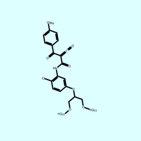 CCCCCCCCOCC(COCCCCCCCC)Oc1ccc(Cl)c(NC(=O)C(=C=O)C(=O)c2ccc(OC)cc2)c1